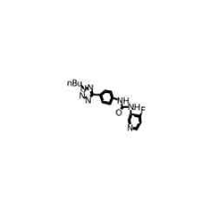 CCCCn1nnc(-c2ccc(NC(=O)Nc3cnccc3F)cc2)n1